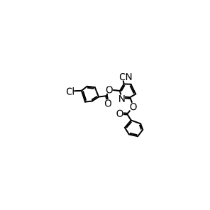 N#Cc1ccc(OC(=O)c2ccccc2)nc1OC(=O)c1ccc(Cl)cc1